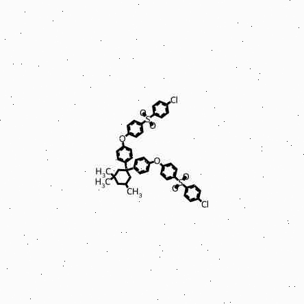 CC1CC(C)(C)CC(c2ccc(Oc3ccc(S(=O)(=O)c4ccc(Cl)cc4)cc3)cc2)(c2ccc(Oc3ccc(S(=O)(=O)c4ccc(Cl)cc4)cc3)cc2)C1